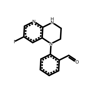 O=Cc1ccccc1N1CCNc2ncc(I)cc21